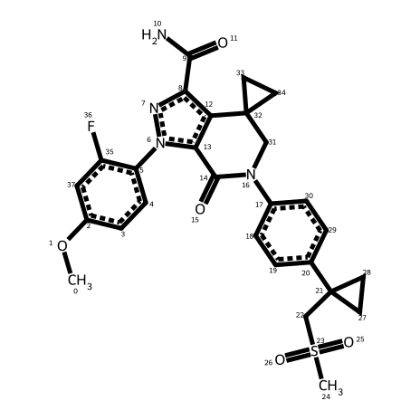 COc1ccc(-n2nc(C(N)=O)c3c2C(=O)N(c2ccc(C4(CS(C)(=O)=O)CC4)cc2)CC32CC2)c(F)c1